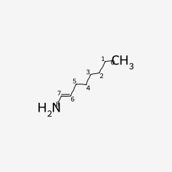 CCCCCC/C=C/N